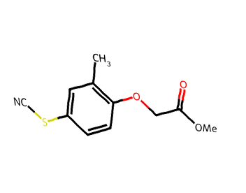 COC(=O)COc1ccc(SC#N)cc1C